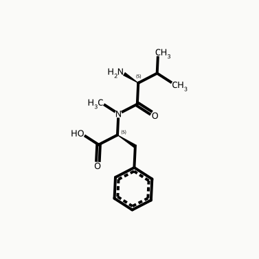 CC(C)[C@H](N)C(=O)N(C)[C@@H](Cc1ccccc1)C(=O)O